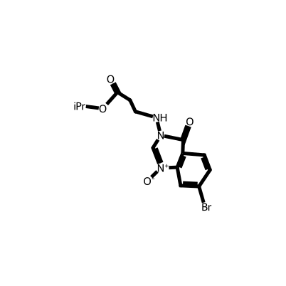 CC(C)OC(=O)CCNn1c[n+]([O-])c2cc(Br)ccc2c1=O